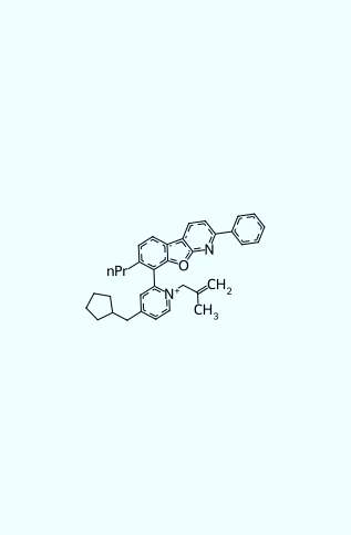 C=C(C)C[n+]1ccc(CC2CCCC2)cc1-c1c(CCC)ccc2c1oc1nc(-c3ccccc3)ccc12